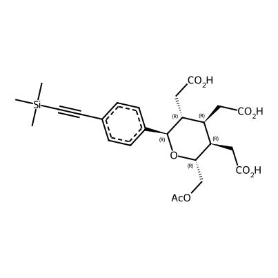 CC(=O)OC[C@@H]1O[C@@H](c2ccc(C#C[Si](C)(C)C)cc2)[C@H](CC(=O)O)[C@@H](CC(=O)O)[C@H]1CC(=O)O